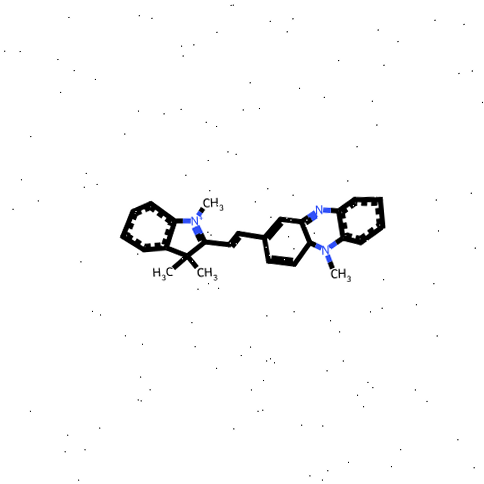 CN1c2ccccc2N=C2C=C(/C=C/C3=[N+](C)c4ccccc4C3(C)C)C=CC21